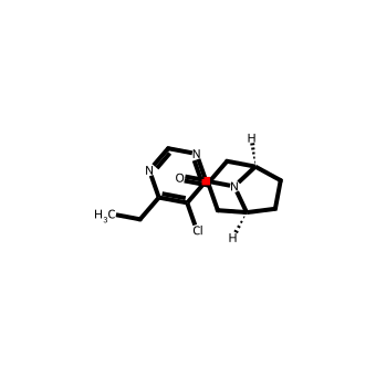 CCc1ncnc(N2[C@@H]3CC[C@H]2CC(=O)C3)c1Cl